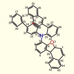 C1=CC2Oc3c(cccc3N(c3ccc(-c4ccccc4)cc3)c3ccccc3-c3ccc4ccccc4c3)C2c2ccccc21